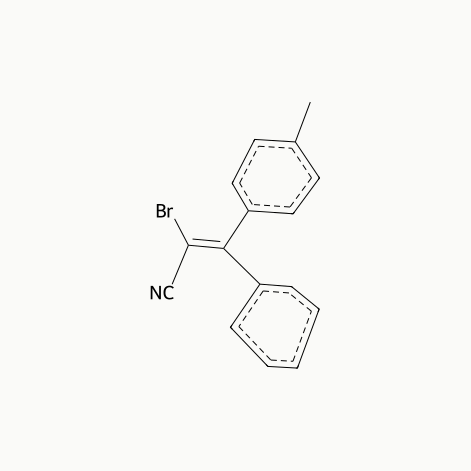 Cc1ccc(/C(=C(\Br)C#N)c2ccccc2)cc1